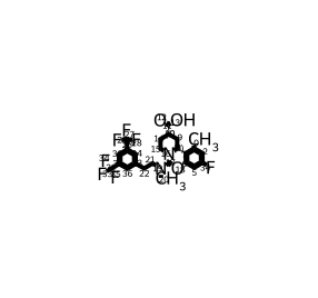 Cc1cc(F)ccc1[C@H]1C[C@@H](C(=O)O)CCN1C(=O)N(C)CCc1cc(C(F)(F)F)cc(C(F)(F)F)c1